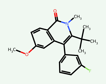 COc1ccc2c(=O)n(C)c(C(C)(C)C)c(-c3cccc(F)c3)c2c1